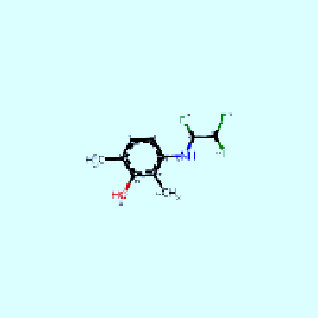 Cc1ccc(NC(F)C(F)F)c(C)c1O